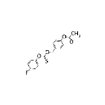 CC(=O)Oc1ccc(COC(=S)Oc2ccc(F)cc2)cc1